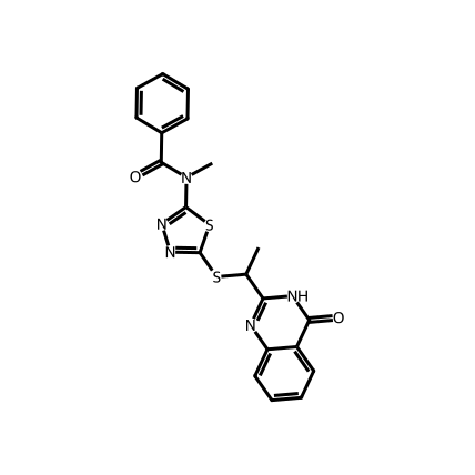 CC(Sc1nnc(N(C)C(=O)c2ccccc2)s1)c1nc2ccccc2c(=O)[nH]1